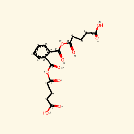 O=C(O)CCCC(=O)OC(=O)c1ccccc1C(=O)OC(=O)CCCC(=O)O